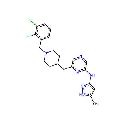 Cc1cc(Nc2cncc(CC3CCN(Cc4cccc(Cl)c4F)CC3)n2)n[nH]1